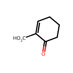 O=C(O)C1=CCCCC1=O